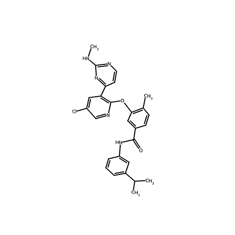 CNc1nccc(-c2cc(Cl)cnc2Oc2cc(C(=O)Nc3cccc(C(C)C)c3)ccc2C)n1